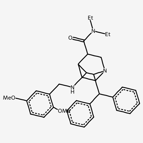 CCN(CC)C(=O)C1CN2CCC1C(NCc1cc(OC)ccc1OC)C2C(c1ccccc1)c1ccccc1